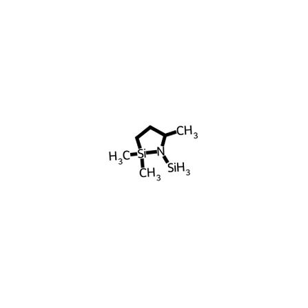 CC1CC[Si](C)(C)N1[SiH3]